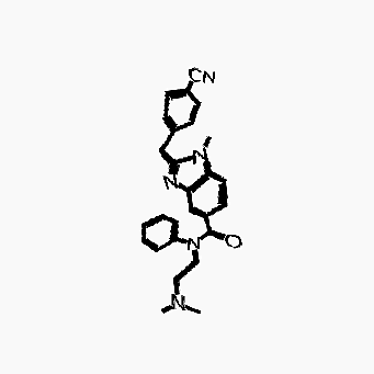 CN(C)CCN(C(=O)c1ccc2c(c1)nc(Cc1ccc(C#N)cc1)n2C)c1ccccc1